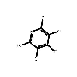 N#Cc1nc(Cl)c(Cl)c(F)c1Cl